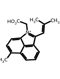 CC(C)=CC1=[N+](CC(=O)O)c2ccc(C)c3cccc1c23